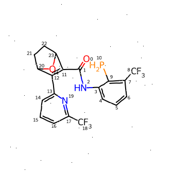 O=C(Nc1cccc(C(F)(F)F)c1P)C1=C(c2cccc(C(F)(F)F)n2)C2CCC1O2